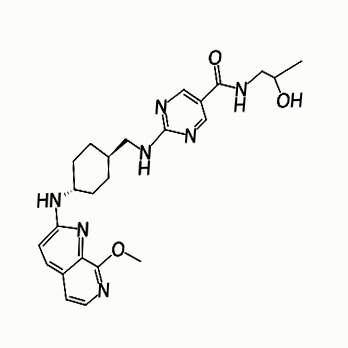 COc1nccc2ccc(N[C@H]3CC[C@H](CNc4ncc(C(=O)NCC(C)O)cn4)CC3)nc12